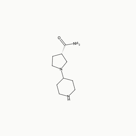 NC(=O)[C@H]1CCN(C2CCNCC2)C1